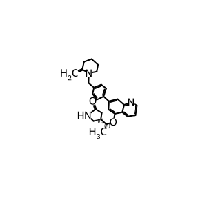 C=C1CCCCN1Cc1ccc(-c2cc(O[C@H](C)[C@H]3CNC(=O)C3)c3cccnc3c2)cc1